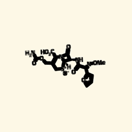 CON=C(C(=O)N[C@@H]1C(=O)N2C(C(=O)O)=C(COC(N)=O)C[S@@+]([O-])[C@H]12)c1ccco1